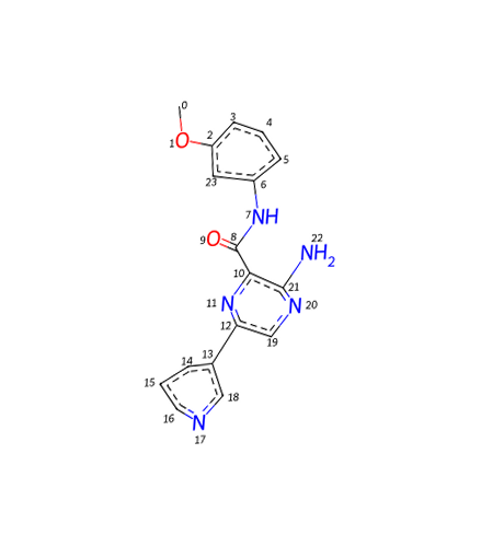 COc1cccc(NC(=O)c2nc(-c3cccnc3)cnc2N)c1